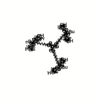 CCCCC(CCCCCCCCCCOC(=O)c1cc(C(=O)OCCCCCCCCCCCC(CCCC)(C(=O)OC2CC(C)(C)NC(C)(C)C2)C(=O)OC2CC(C)(C)N(O)C(C)(C)C2)cc(C(=O)OCCCCCCCCCCC(CCCC)(C(=O)OC2CC(C)(C)N(O)C(C)(C)C2)C(=O)OC2CC(C)(C)N(O)C(C)(C)C2)c1)(C(=O)OC(CC(C)C)CC(C)(C)O)C(=O)OC1CC(C)(C)NC(C)(C)C1